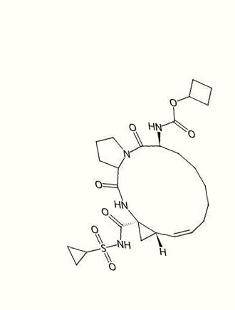 O=C(N[C@H]1CCCCC/C=C\[C@@H]2C[C@@]2(C(=O)NS(=O)(=O)C2CC2)NC(=O)C2CCCN2C1=O)OC1CCC1